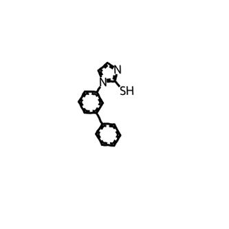 Sc1nccn1-c1cccc(-c2ccccc2)c1